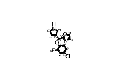 Fc1cc(Cl)ccc1OC(c1ncco1)[C@H]1CCNC1